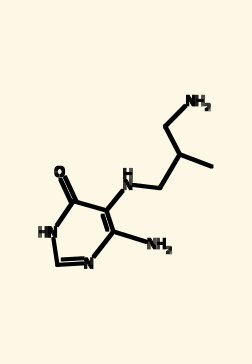 CC(CN)CNc1c(N)nc[nH]c1=O